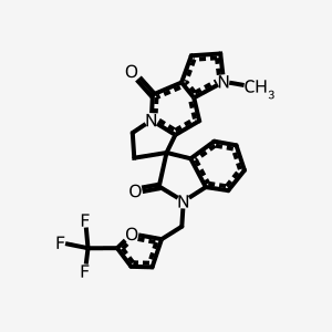 Cn1ccc2c(=O)n3c(cc21)C1(CC3)C(=O)N(Cc2ccc(C(F)(F)F)o2)c2ccccc21